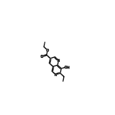 CCOC(=O)c1cnc2c(O)c(CC)ncc2c1